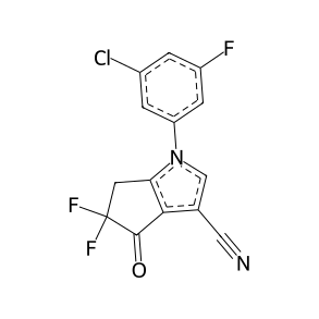 N#Cc1cn(-c2cc(F)cc(Cl)c2)c2c1C(=O)C(F)(F)C2